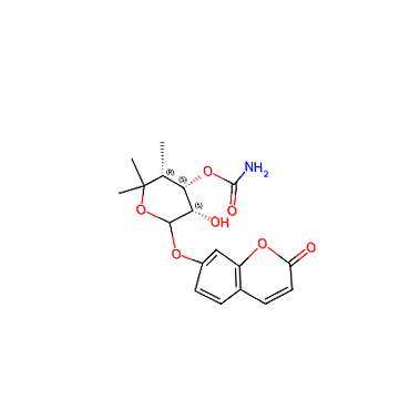 C[C@@H]1[C@H](OC(N)=O)[C@H](O)C(Oc2ccc3ccc(=O)oc3c2)OC1(C)C